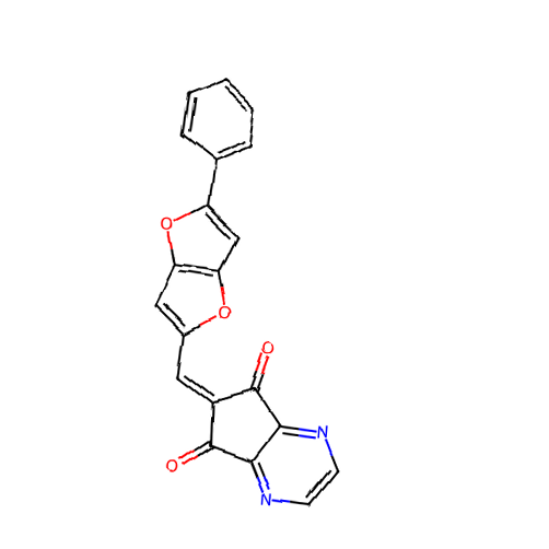 O=C1C(=Cc2cc3oc(-c4ccccc4)cc3o2)C(=O)c2nccnc21